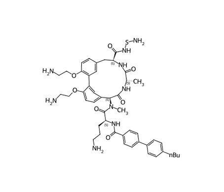 CCCCc1ccc(-c2ccc(C(=O)N[C@@H](CCCN)C(=O)N(C)[C@@H]3C(=O)N[C@@H](C)C(=O)N[C@H](C(=O)NSN)Cc4ccc(OCCN)c(c4)-c4cc3ccc4OCCN)cc2)cc1